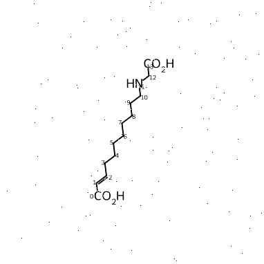 O=C(O)C=CCCCCCCCCNCC(=O)O